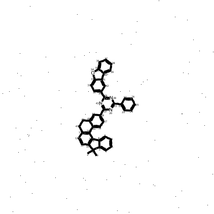 CC1(C)c2ccccc2-c2c1ccc1c2-c2ccc(-c3nc(-c4ccccc4)nc(-c4ccc5oc6ccccc6c5c4)n3)cc2CC1